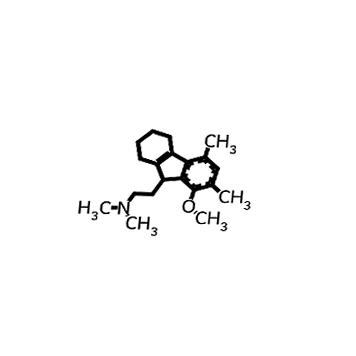 COc1c(C)cc(C)c2c1C(CCN(C)C)C1=C2CCCC1